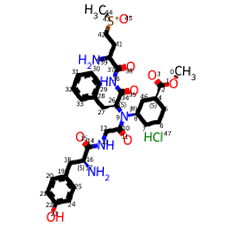 COC(=O)[C@H]1CCC[C@@H](N(C(=O)CNC(=O)[C@@H](N)Cc2ccc(O)cc2)[C@@H](Cc2ccccc2)C(=O)NC(=O)C(N)CC[S+](C)[O-])C1.Cl